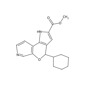 COC(=O)c1cc2c([nH]1)-c1ccncc1OC2C1CCCCC1